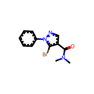 CN(C)C(=O)c1cnn(-c2ccccc2)c1Br